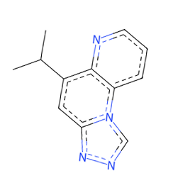 CC(C)c1cc2nncn2c2cccnc12